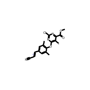 COC(=O)c1nc(Cl)nc(Oc2c(C)cc(/C=C/C#N)cc2C)c1I